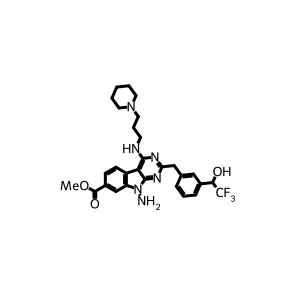 COC(=O)c1ccc2c3c(NCCCN4CCCCC4)nc(Cc4cccc(C(O)C(F)(F)F)c4)nc3n(N)c2c1